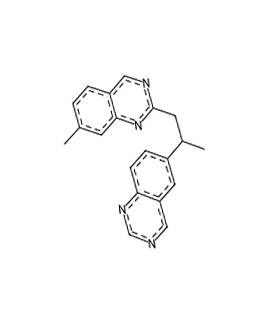 Cc1ccc2cnc(CC(C)c3ccc4ncncc4c3)nc2c1